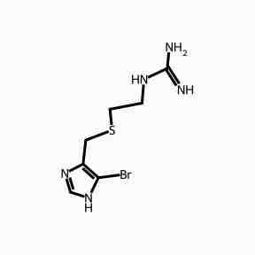 N=C(N)NCCSCc1nc[nH]c1Br